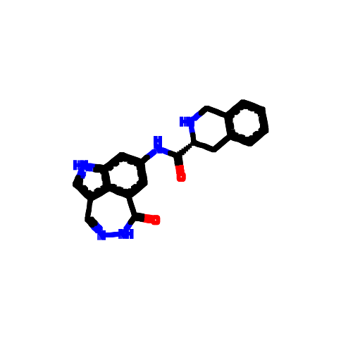 O=C1NN=Cc2c[nH]c3cc(NC(=O)[C@H]4Cc5ccccc5CN4)cc1c23